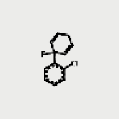 FC1(c2ccccc2Cl)C=CCC=C1